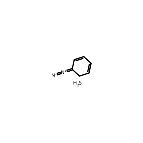 S.[N-]=[N+]=C1C=CC=CC1